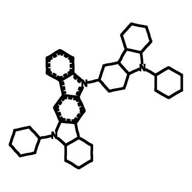 c1ccc2c(c1)c1cc3c(cc1n2C1CCC2C(C1)C1CCCCC1N2C1CCCCC1)C1CCCCC1N3C1CCCCC1